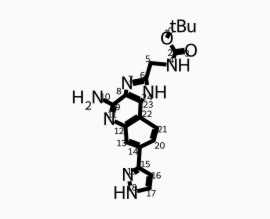 CC(C)(C)OC(=O)NCc1nc2c(N)nc3cc(-c4cc[nH]n4)ccc3c2[nH]1